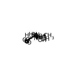 CSC[C@H]1O[C@@H](n2cnc3c2N=CNC3(N)CCCCCON2C(=O)CCC2=O)[C@H](O)[C@@H]1O